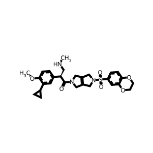 CNC[C@@H](C(=O)N1CC2=C(C1)CN(S(=O)(=O)c1ccc3c(c1)OCCO3)C2)c1ccc(OC)c(C2CC2)c1